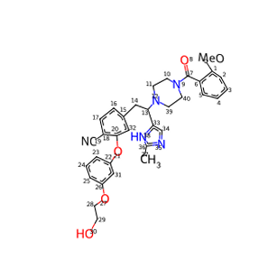 COc1ccccc1C(=O)N1CCN(C(Cc2ccc(C#N)c(Oc3cccc(OCCO)c3)c2)c2cnc(C)[nH]2)CC1